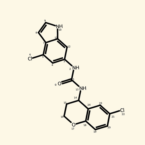 O=C(Nc1cc(Cl)c2cc[nH]c2c1)NC1CCOc2ccc(Cl)cc21